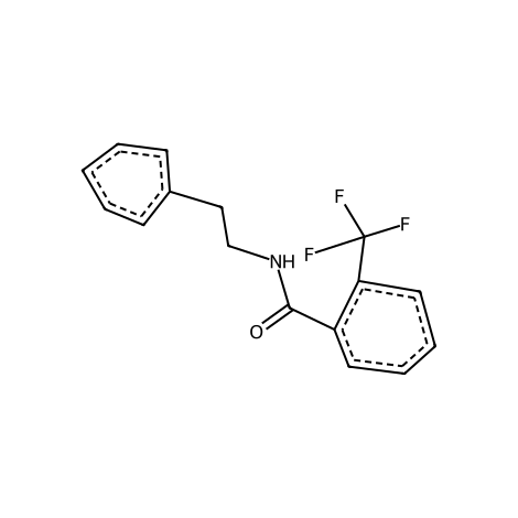 O=C(NCCc1ccccc1)c1ccccc1C(F)(F)F